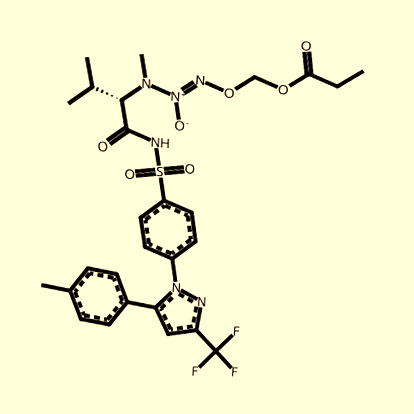 CCC(=O)OCON=[N+]([O-])N(C)[C@H](C(=O)NS(=O)(=O)c1ccc(-n2nc(C(F)(F)F)cc2-c2ccc(C)cc2)cc1)C(C)C